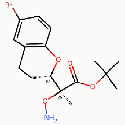 CC(C)(C)OC(=O)[C@@](C)(ON)[C@@H]1CCc2cc(Br)ccc2O1